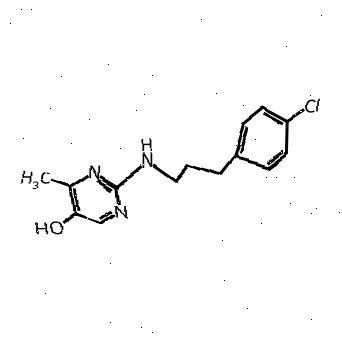 Cc1nc(NCCCc2ccc(Cl)cc2)ncc1O